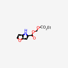 CCOC(=O)OCOC(=O)c1cc2occc2[nH]1